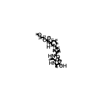 C=C(NC(=O)C(=C)NC(=O)c1csc(N2CCCC(NC(=O)OCCOC)C2)n1)C(=O)O